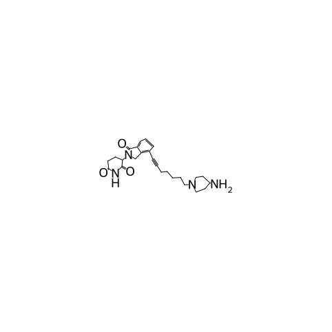 NC1CCN(CCCCCC#Cc2cccc3c2CN(C2CCC(=O)NC2=O)C3=O)CC1